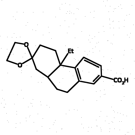 CCC12CCC3(CC1CCc1cc(C(=O)O)ccc12)OCCO3